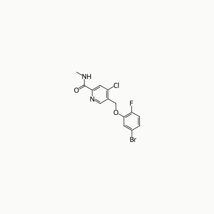 CNC(=O)c1cc(Cl)c(COc2cc(Br)ccc2F)cn1